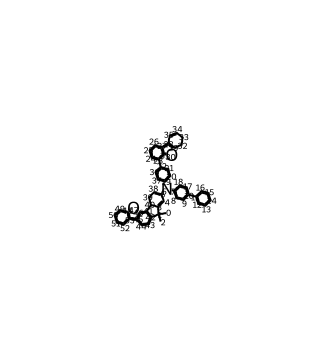 CC1(C)C2=CC(N(c3ccc(-c4ccccc4)cc3)c3ccc(-c4cccc5c6c(oc45)CCC=C6)cc3)=CCC2c2c1ccc1c2oc2ccccc21